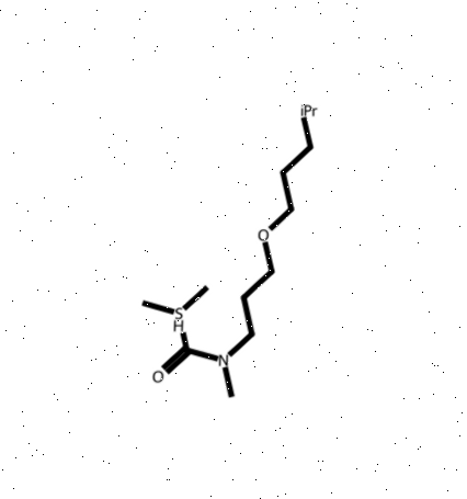 CC(C)CCCOCCCN(C)C(=O)[SH](C)C